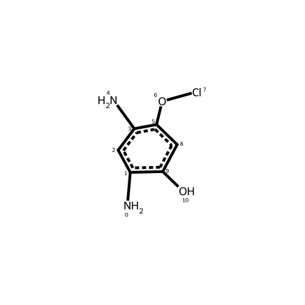 Nc1cc(N)c(OCl)cc1O